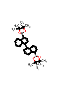 CC1(C)OB(c2cccc3c(-c4ccc(B5OC(C)(C)C(C)(C)O5)c5ccccc45)cccc23)OC1(C)C